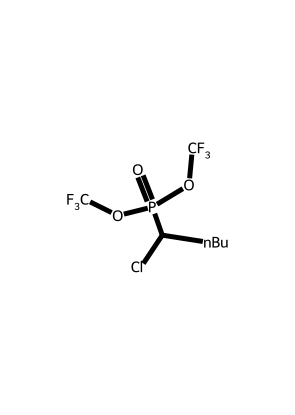 CCCCC(Cl)P(=O)(OC(F)(F)F)OC(F)(F)F